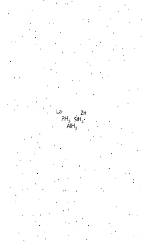 P.[AlH3].[La].[SiH4].[Zn]